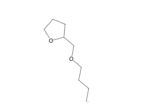 [CH2]CCCOCC1CCCO1